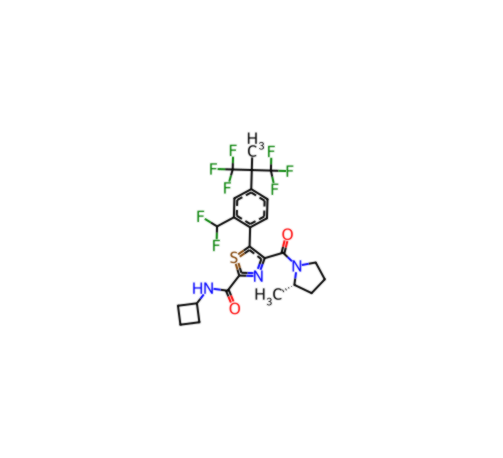 C[C@H]1CCCN1C(=O)c1nc(C(=O)NC2CCC2)sc1-c1ccc(C(C)(C(F)(F)F)C(F)(F)F)cc1C(F)F